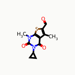 Cc1c(C=O)sc2c1c(=O)n(C1CC1)c(=O)n2C